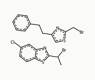 BrCc1nc(CCc2ccccc2)cs1.CC(Br)c1nc2cc(Cl)ccc2s1